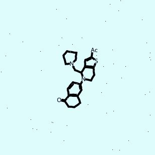 CC(=O)c1cc2c(s1)CCN(c1ccc3c(c1)CCCC3=O)C2CN1CCCCC1